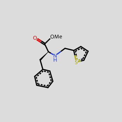 COC(=O)[C@H](Cc1ccccc1)NCc1cccs1